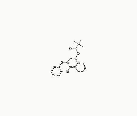 CC(C)(C)C(=O)Oc1cc2c(c3ccccc13)Nc1ccccc1S2